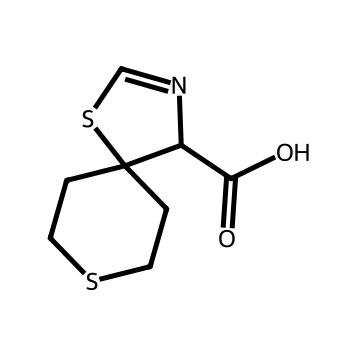 O=C(O)C1N=CSC12CCSCC2